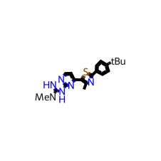 CNC(=N)Nc1nccc(-c2sc(-c3ccc(C(C)(C)C)cc3)nc2C)n1